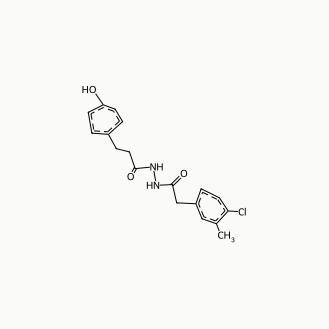 Cc1cc(CC(=O)NNC(=O)CCc2ccc(O)cc2)ccc1Cl